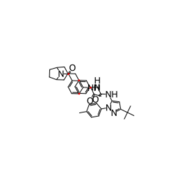 CC(=O)Nc1cccc(C(=O)N2C3CCC2CC(Cc2cccc(NC(=O)Nc4cc(C(C)(C)C)nn4-c4ccc(C)cc4)c2)C3)c1